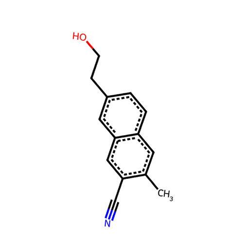 Cc1cc2ccc(CCO)cc2cc1C#N